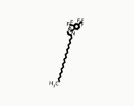 CCCCCCCCCCCCCCCCCCCCc1ccnc(-c2ccc(C(F)(F)F)cc2C(F)(F)F)n1